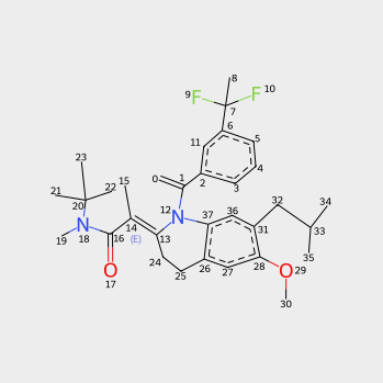 C=C(c1cccc(C(C)(F)F)c1)N1/C(=C(\C)C(=O)N(C)C(C)(C)C)CCc2cc(OC)c(CC(C)C)cc21